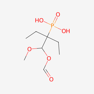 CCC(CC)(C(OC)OC=O)P(=O)(O)O